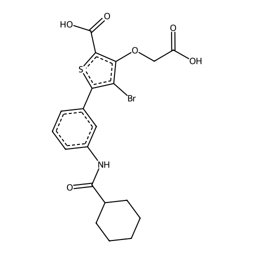 O=C(O)COc1c(C(=O)O)sc(-c2cccc(NC(=O)C3CCCCC3)c2)c1Br